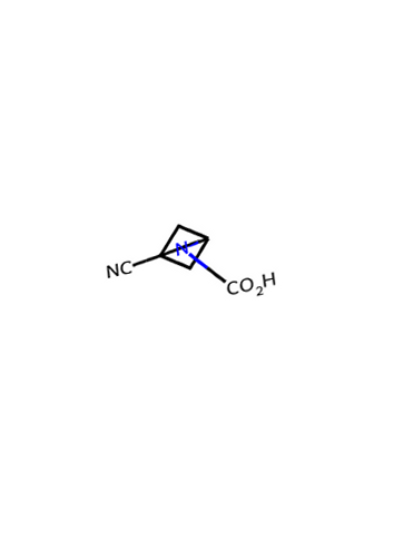 N#CC12CC(C1)N(C(=O)O)C2